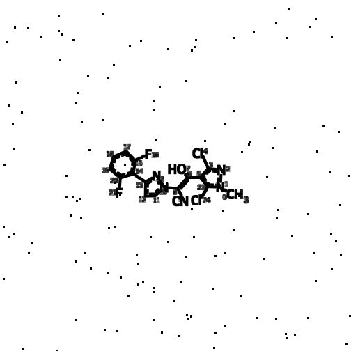 Cn1nc(Cl)c(C(O)=C(C#N)n2ccc(-c3c(F)cccc3F)n2)c1Cl